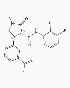 C=C(C)c1cccc([C@H]2CN(C)C(=O)[C@@H]2C(=O)Nc2cccc(F)c2F)c1